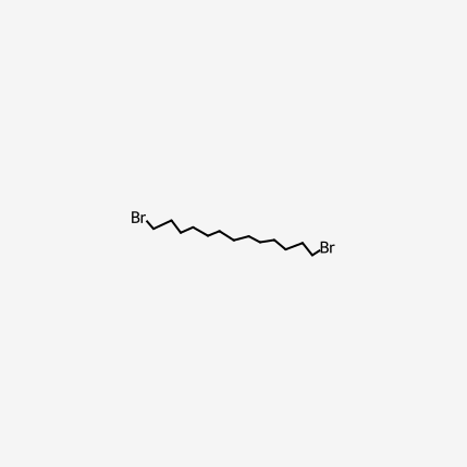 BrCCCCCCCCCCCCCBr